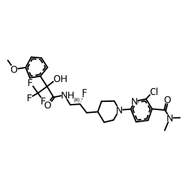 COc1cccc(C(O)(C(=O)NC[C@H](F)CC2CCN(c3ccc(C(=O)N(C)C)c(Cl)n3)CC2)C(F)(F)F)c1